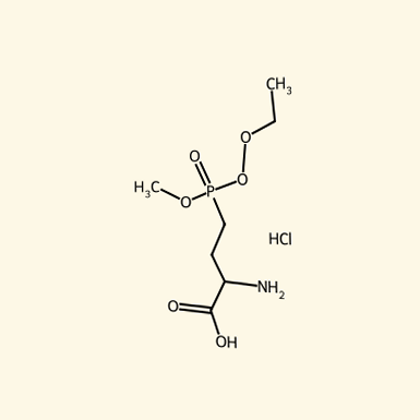 CCOOP(=O)(CCC(N)C(=O)O)OC.Cl